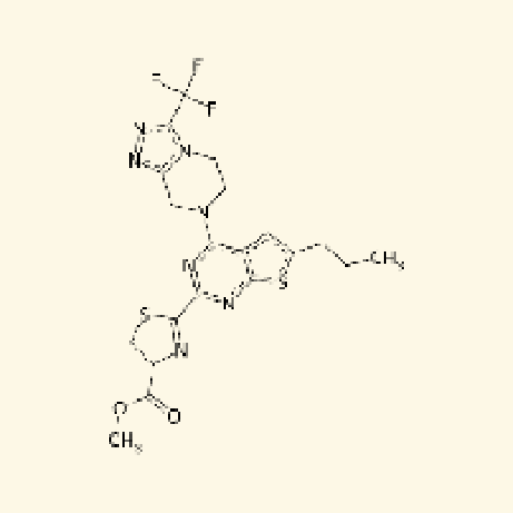 CCCc1cc2c(N3CCn4c(nnc4C(F)(F)F)C3)nc(C3=NC(C(=O)OC)CS3)nc2s1